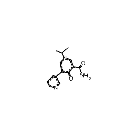 CC(C)n1cc(C(N)=O)c(=O)c(-c2cccnc2)c1